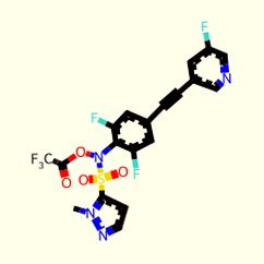 Cn1nccc1S(=O)(=O)N(OC(=O)C(F)(F)F)c1c(F)cc(C#Cc2cncc(F)c2)cc1F